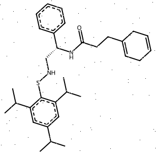 CC(C)c1cc(C(C)C)c(SNC[C@@H](NC(=O)CCC2=CCC=CC2)c2ccccc2)c(C(C)C)c1